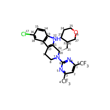 FC(F)(F)c1cc(C(F)(F)F)nc(N2CCc3c([nH]c4ccc(Cl)cc34)[C@@H]2C[C@H]2CCCOC2)n1